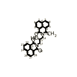 C=c1c2cccc3cccc(c(=O)n1CC(O)CN1C(=O)c4cccc5cccc(c45)C1=O)c32